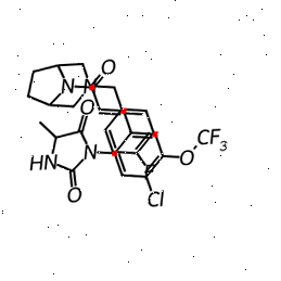 CC1NC(=O)N(c2cc(Cl)c(OC(F)(F)F)cc2C=CC(=O)N2C3CCC2CN(Cc2ccc(F)cc2)C3)C1=O